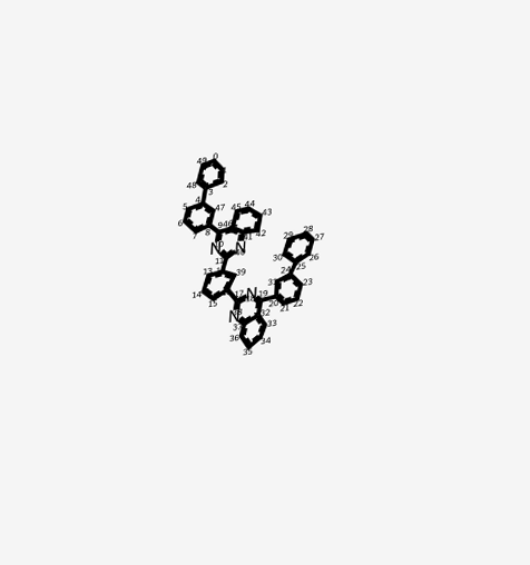 c1ccc(-c2cccc(-c3nc(-c4cccc(-c5nc(-c6cccc(-c7ccccc7)c6)c6ccccc6n5)c4)nc4ccccc34)c2)cc1